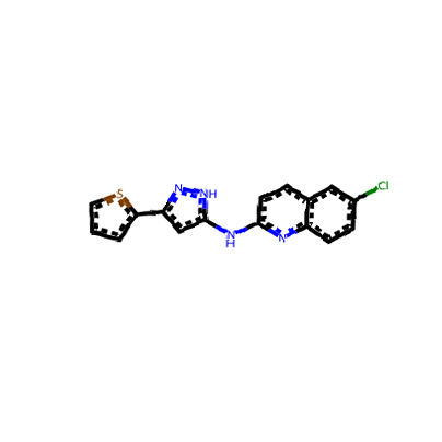 Clc1ccc2nc(Nc3cc(-c4cccs4)n[nH]3)ccc2c1